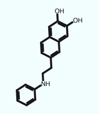 Oc1cc2ccc(CCNc3ccccc3)cc2cc1O